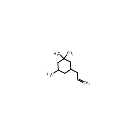 C=CCC1CC(C)CC(C)(C)C1